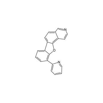 c1ccc(-c2cccc3c2oc2c4ccncc4ccc32)nc1